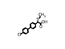 CCSC(C(=O)O)c1ccc(-c2ccc(Cl)cc2)cc1